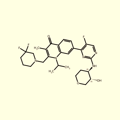 Cc1c(CN2CCCC(F)(F)C2)n(C(C)C)c2cc(-c3nc(N[C@@H]4CCOC[C@H]4O)ncc3F)ccc2c1=O